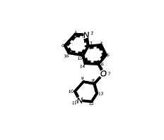 c1cnc2ccc(OC3CC[N]CC3)cc2c1